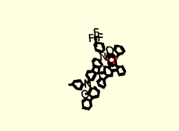 Cc1ccc(N(c2ccc3c(c2)C2(c4ccccc4-c4cc5c6ccccc6c6ccccc6c5cc42)c2cc(N(C4=CC=CC5c6ccccc6OC45)c4ccc(C(F)(F)F)cc4)ccc2-3)c2cccc3c2oc2ccccc23)cc1